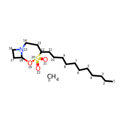 C.CCCCCCCCCCCC1CCN2CCC2OS1(=O)=O